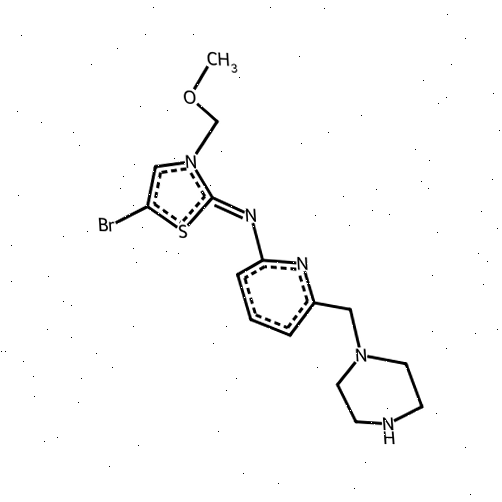 COCn1cc(Br)s/c1=N\c1cccc(CN2CCNCC2)n1